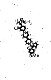 COc1ccc(C2(C(=O)N3CCC(C4CCN(c5ccc(C(=O)N(C)C)c(Cl)c5)CC4)CC3)CCCC2)cc1